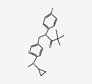 CN(c1ccc(CN(C(=O)C(C)(C)C)c2ccc(F)cc2)cn1)C1CC1